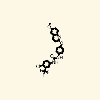 COc1ccc2nc(Oc3ccc(NC(=O)Nc4ccc(Cl)c(C(F)(F)F)c4)cc3)ccc2c1